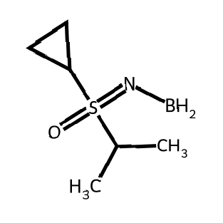 BN=S(=O)(C(C)C)C1CC1